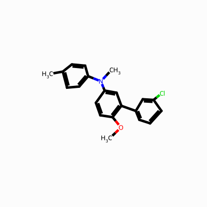 COc1ccc(N(C)c2ccc(C)cc2)cc1-c1cccc(Cl)c1